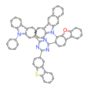 c1ccc(-n2c3ccccc3c3ccc(-c4nc(-c5ccc6sc7ccccc7c6c5)nc(-c5ccc6c(oc7ccccc76)c5-n5c6ccccc6c6cc7ccccc7cc65)n4)cc32)cc1